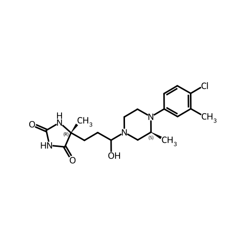 Cc1cc(N2CCN(C(O)CC[C@@]3(C)NC(=O)NC3=O)C[C@@H]2C)ccc1Cl